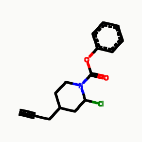 C#CCC1CCN(C(=O)Oc2ccccc2)C(Cl)C1